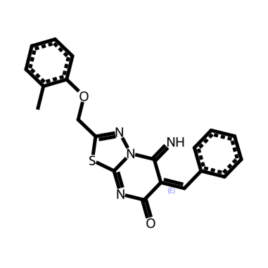 Cc1ccccc1OCC1=NN2C(=N)/C(=C\c3ccccc3)C(=O)N=C2S1